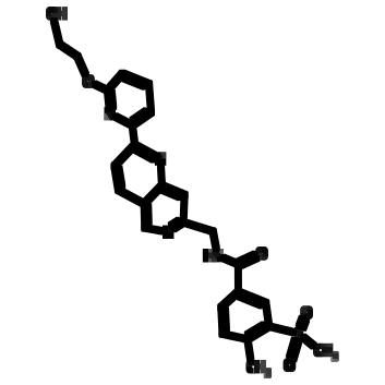 Cc1ccc(C(=O)NCc2cc3nc(-c4cccc(OCCO)n4)ccc3cn2)cc1S(C)(=O)=O